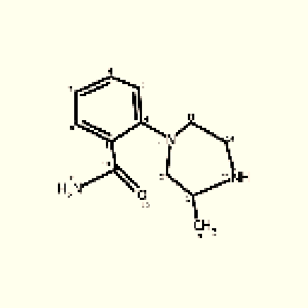 CC1CN(c2ccccc2C(N)=O)CCN1